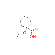 CCOC1(C(=O)O)CCCCC1